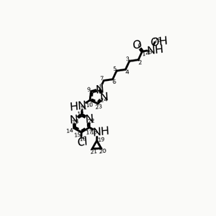 O=C(CCCCCCn1cc(Nc2ncc(Cl)c(NC3CC3)n2)cn1)NO